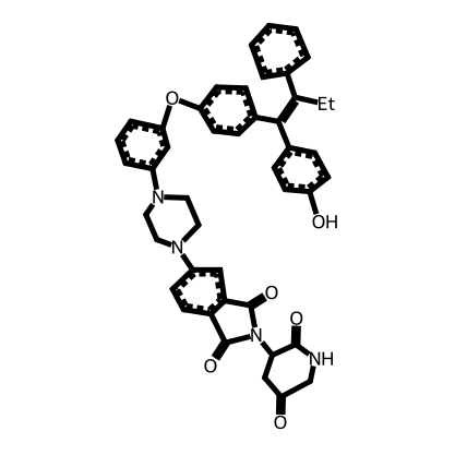 CC/C(=C(\c1ccc(O)cc1)c1ccc(Oc2cccc(N3CCN(c4ccc5c(c4)C(=O)N(C4CC(=O)CNC4=O)C5=O)CC3)c2)cc1)c1ccccc1